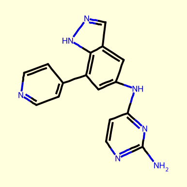 Nc1nccc(Nc2cc(-c3ccncc3)c3[nH]ncc3c2)n1